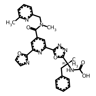 Cc1cccc(CN(C)C(=O)c2cc(-c3ncco3)nc(-c3nnc([C@@](C)(Cc4ccccc4)NC(=O)O)o3)c2)n1